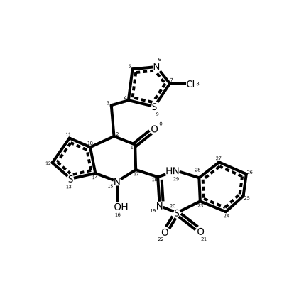 O=C1C(Cc2cnc(Cl)s2)c2ccsc2N(O)C1C1=NS(=O)(=O)c2ccccc2N1